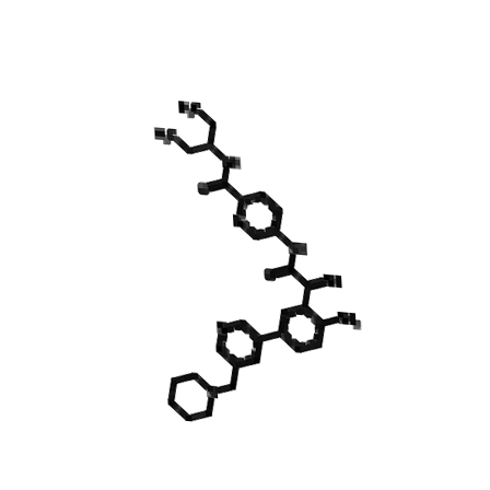 CCC(CC)NC(=O)c1ccc(NC(=O)C(=N)c2cc(-c3cncc(CN4CCCCC4)c3)ccc2N)cn1